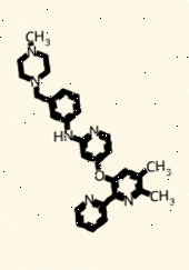 Cc1cc(Oc2ccnc(Nc3cccc(CN4CCN(C)CC4)c3)c2)c(-c2ccccn2)nc1C